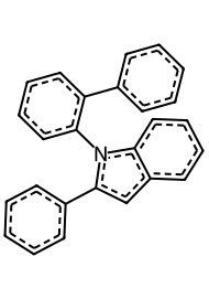 c1ccc(-c2ccccc2-n2c(-c3ccccc3)cc3ccccc32)cc1